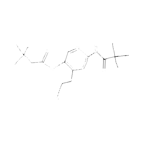 CC(C)(C)CC(=O)Oc1cnc(NC(=O)C(C)(C)C)cc1CCO